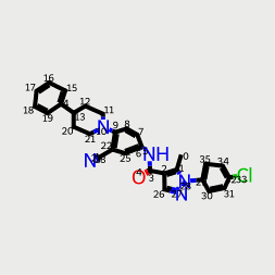 Cc1c(C(=O)Nc2ccc(N3CCC(c4ccccc4)CC3)c(C#N)c2)cnn1-c1ccc(Cl)cc1